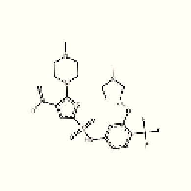 CN1CCN(c2sc(S(=O)(=O)Nc3ccc(C(F)(F)F)c(O[C@@H]4CCN(C)C4)c3)cc2[N+](=O)[O-])CC1